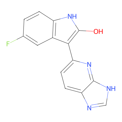 Oc1[nH]c2ccc(F)cc2c1-c1ccc2nc[nH]c2n1